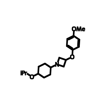 COc1ccc(OC2CN(C3CCC(OC(C)C)CC3)C2)cc1